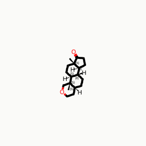 C[C@]12COCC[C@@H]1CC[C@@H]1[C@@H]2CC[C@]2(C)C(=O)CC[C@@H]12